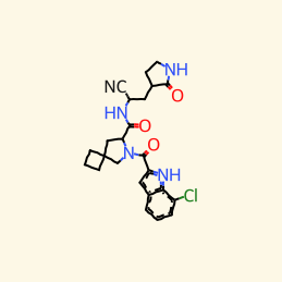 N#CC(CC1CCNC1=O)NC(=O)C1CC2(CCC2)CN1C(=O)c1cc2cccc(Cl)c2[nH]1